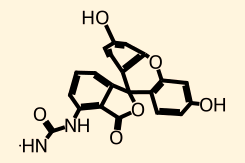 [NH]C(=O)Nc1cccc2c1C(=O)OC21c2ccc(O)cc2Oc2cc(O)ccc21